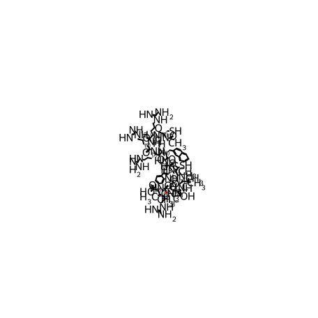 CC(=O)N[C@@H](CS)C(=O)N[C@H](CCCNC(=N)N)C(=O)N[C@@H](CCCNC(=N)N)C(=O)N[C@@H](CCCNC(=N)N)C(=O)N[C@@H](Cc1ccc2ccccc2c1)C(=O)N[C@@H](Cc1c[nH]c2ccccc12)C(=O)N[C@H](C(=O)N[C@H](C(=O)N[C@H](C(=O)N[C@@H](CCCNC(=N)N)C(=O)N[C@H](C(=O)O)C(C)(C)C)[C@@H](C)O)C(C)(C)C)C(C)(C)S